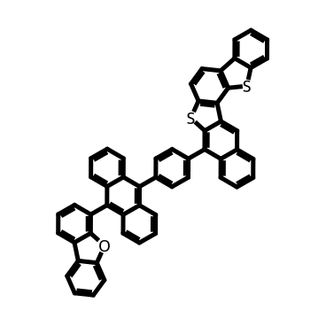 c1ccc2c(-c3ccc(-c4c5ccccc5c(-c5cccc6c5oc5ccccc56)c5ccccc45)cc3)c3sc4ccc5c6ccccc6sc5c4c3cc2c1